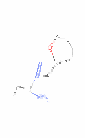 CCC(N)NCC1CCCO1